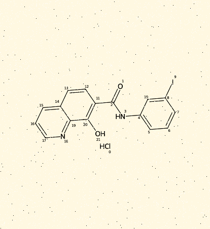 Cl.O=C(Nc1cccc(I)c1)c1ccc2cccnc2c1O